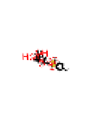 Cc1ccc(S(=O)(=O)OCC2COC(CO)(CO)CO2)cc1